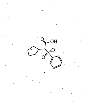 O=C(O)C(C1CCCC1)S(=O)(=O)c1ccccc1